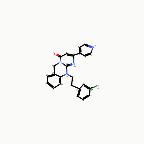 O=c1cc(-c2ccncc2)nc2n1Cc1ccccc1N2CCc1cccc(Cl)c1